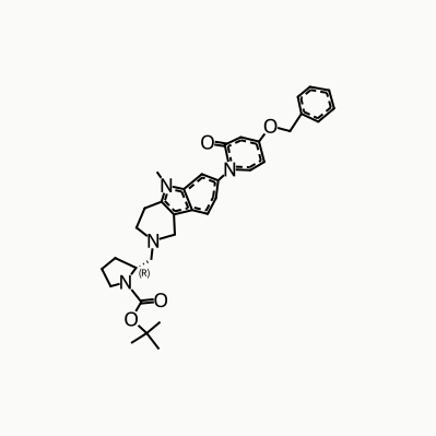 Cn1c2c(c3ccc(-n4ccc(OCc5ccccc5)cc4=O)cc31)CN(C[C@H]1CCCN1C(=O)OC(C)(C)C)CC2